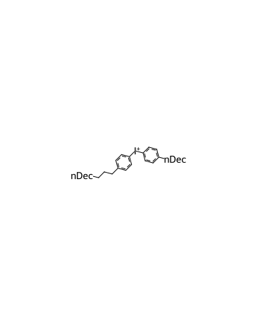 CCCCCCCCCCCCCc1ccc([I+]c2ccc(CCCCCCCCCC)cc2)cc1